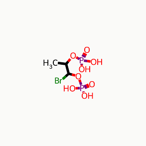 CC(OP(=O)(O)O)C(Br)OP(=O)(O)O